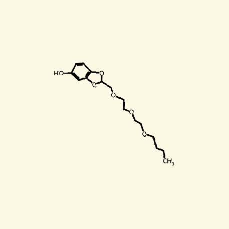 CCCCOCCOCCOCC1Oc2ccc(O)cc2O1